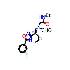 C/C=C\C(=C/N(C=O)CC(=O)NCC)c1noc(-c2cccc(F)c2)n1